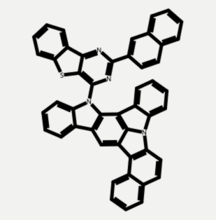 c1ccc2cc(-c3nc(-n4c5ccccc5c5cc6c7c8ccccc8ccc7n7c8ccccc8c(c54)c67)c4sc5ccccc5c4n3)ccc2c1